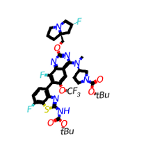 CN(c1nc(OC[C@@]23CCCN2C[C@H](F)C3)nc2c(F)c(-c3ccc(F)c4sc(NC(=O)OC(C)(C)C)nc34)c(OC(F)(F)F)cc12)[C@@H]1CCN(C(=O)OC(C)(C)C)C1